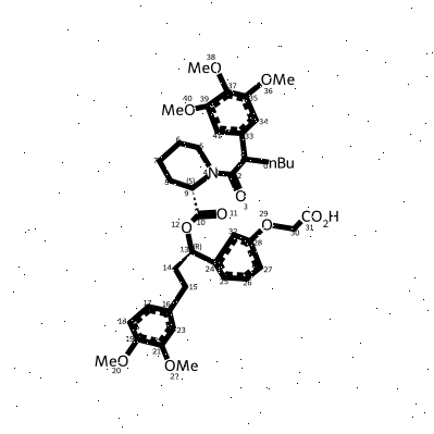 CCCCC(C(=O)N1CCCC[C@H]1C(=O)O[C@H](CCc1ccc(OC)c(OC)c1)c1cccc(OCC(=O)O)c1)c1cc(OC)c(OC)c(OC)c1